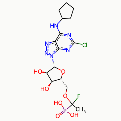 CC(F)(OC[C@H]1O[C@@H](n2nnc3c(NC4CCCC4)nc(Cl)nc32)[C@H](O)[C@@H]1O)P(=O)(O)O